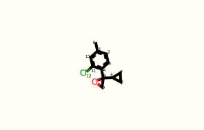 Cc1ccc(C2(C3CC3)CO2)c(Cl)c1